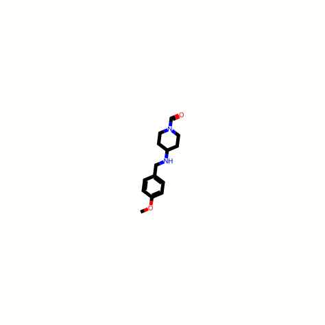 COc1ccc(CNC2CCN(C=O)CC2)cc1